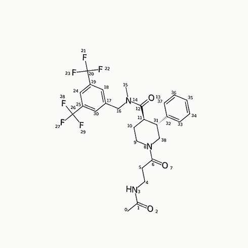 CC(=O)NCCC(=O)N1CC[C@@H](C(=O)N(C)Cc2cc(C(F)(F)F)cc(C(F)(F)F)c2)[C@H](c2ccccc2)C1